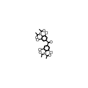 CC(=O)N(C(C)=O)c1c(Cl)cc(C(=O)c2cc(Cl)c(N(C(C)=O)C(C)=O)c(Cl)c2)cc1Cl